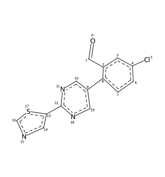 O=Cc1cc(Cl)ccc1-c1cnc(-c2cncs2)nc1